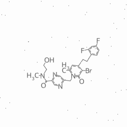 Cc1cc(CCc2ccc(F)cc2F)c(Br)c(=O)n1Cc1cnc(C(=O)N(C)CCO)cn1